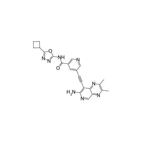 Cc1nc2cnc(N)c(C#Cc3cncc(C(=O)Nc4nnc(C5CCC5)o4)c3)c2nc1C